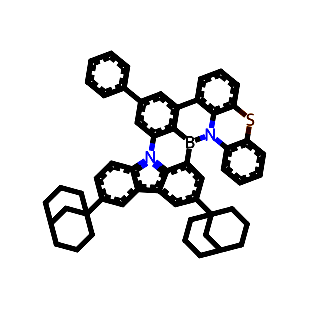 c1ccc(-c2cc3c4c(c2)-n2c5ccc(C67CCCC(CCC6)C7)cc5c5cc(C67CCCC(CCC6)C7)cc(c52)B4N2c4ccccc4Sc4cccc-3c42)cc1